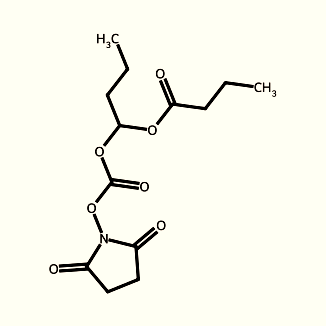 CCCC(=O)OC(CCC)OC(=O)ON1C(=O)CCC1=O